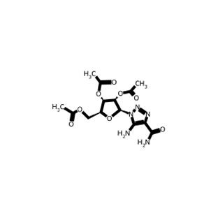 CC(=O)OC[C@@H]1O[C@H](n2nnc(C(N)=O)c2N)[C@@H](OC(C)=O)[C@H]1OC(C)=O